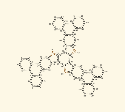 c1ccc2c(c1)c1ccccc1c1cc3c(cc21)sc1c3c2sc3cc4c5ccccc5c5ccccc5c4cc3c2c2sc3cc4c5ccccc5c5ccccc5c4cc3c12